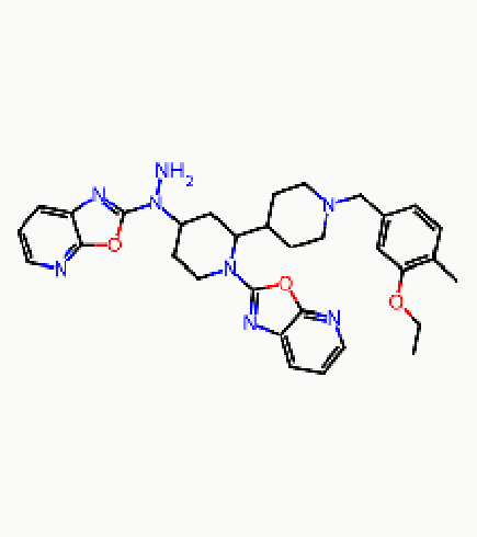 CCOc1cc(CN2CCC(C3CC(N(N)c4nc5cccnc5o4)CCN3c3nc4cccnc4o3)CC2)ccc1C